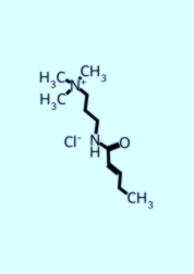 CCC=CC(=O)NCCC[N+](C)(C)C.[Cl-]